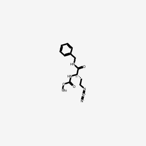 CC(C)(C)OC(=O)N[C@@H](CCN=[N+]=[N-])C(=O)NCc1ccccc1